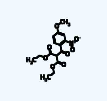 CCOC(=O)C(C(=O)OCC)C(=O)c1ccc(OC)cc1[N+](=O)[O-]